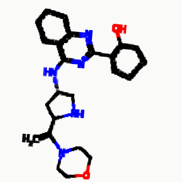 C=C([C@H]1C[C@H](Nc2nc(-c3ccccc3O)nc3ccccc23)CN1)N1CCOCC1